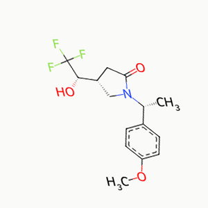 COc1ccc([C@@H](C)N2C[C@H]([C@H](O)C(F)(F)F)CC2=O)cc1